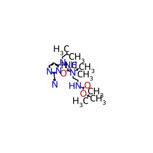 CC(C)CN(NC(=O)N(CCNC(=O)OC(C)(C)C)C(C)(C)C)c1ccnc(C#N)n1